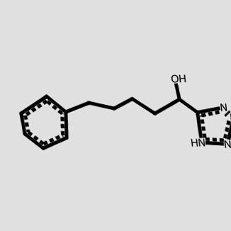 OC(CCCCc1ccccc1)c1nnn[nH]1